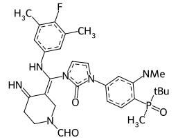 CNc1cc(-n2ccn(/C(Nc3cc(C)c(F)c(C)c3)=C3\CN(C=O)CCC3=N)c2=O)ccc1P(C)(=O)C(C)(C)C